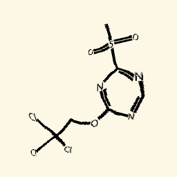 CS(=O)(=O)c1ncnc(OCC(Cl)(Cl)Cl)n1